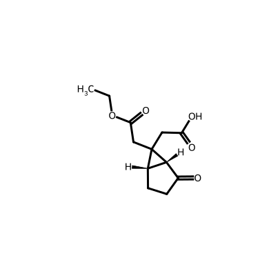 CCOC(=O)CC1(CC(=O)O)[C@@H]2C(=O)CC[C@@H]21